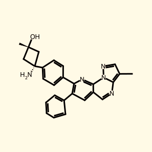 Cc1cnn2c1ncc1cc(-c3ccccc3)c(-c3ccc([C@]4(N)C[C@@](C)(O)C4)cc3)nc12